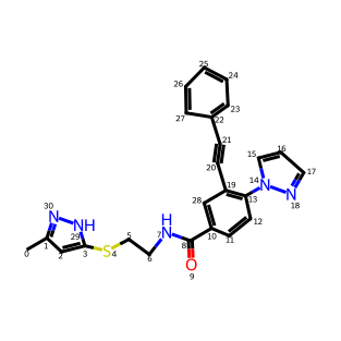 Cc1cc(SCCNC(=O)c2ccc(-n3cccn3)c(C#Cc3ccccc3)c2)[nH]n1